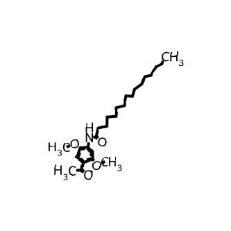 CCCCCCCCCCCCCCCC(=O)Nc1cc(OC)c(C(C)=O)cc1OC